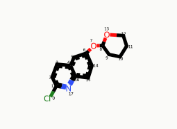 Clc1ccc2cc(OC3CCCCO3)ccc2n1